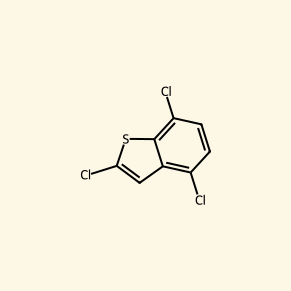 Clc1cc2c(Cl)ccc(Cl)c2s1